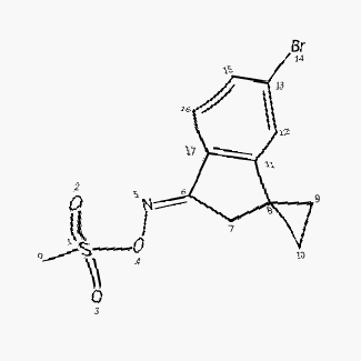 CS(=O)(=O)ON=C1CC2(CC2)c2cc(Br)ccc21